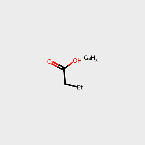 CCCC(=O)O.[GaH3]